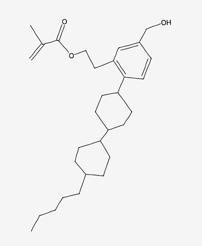 C=C(C)C(=O)OCCc1cc(CO)ccc1C1CCC(C2CCC(CCCCC)CC2)CC1